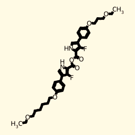 CCOCCCCCCOc1ccc(-c2c[nH]c(C(=O)OC(=O)c3[nH]cc(-c4ccc(OCCCOCC)cc4)c3F)c2F)cc1